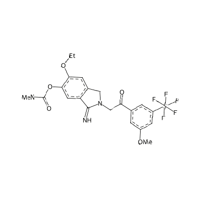 CCOc1cc2c(cc1OC(=O)NC)C(=N)N(CC(=O)c1cc(OC)cc(S(F)(F)(F)(F)F)c1)C2